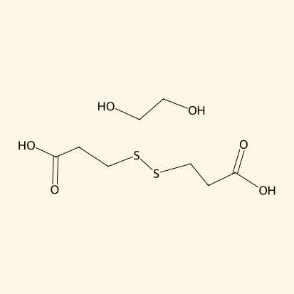 O=C(O)CCSSCCC(=O)O.OCCO